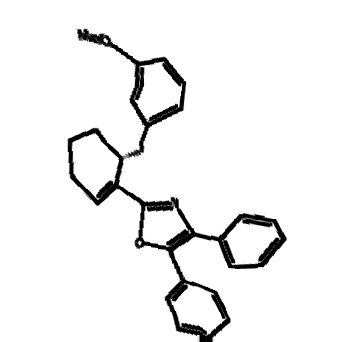 COc1cccc(C[C@H]2CCCC=C2c2nc(-c3ccccc3)c(-c3ccccc3)o2)c1